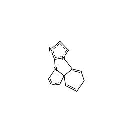 C1=CN2c3nccn3C3=CCC=CC32C=C1